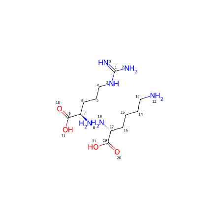 N=C(N)NCCC[C@@H](N)C(=O)O.NCCCC[C@@H](N)C(=O)O